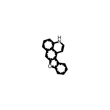 C1=Cc2c3c(cccc3cc3oc4ccccc4c23)N1